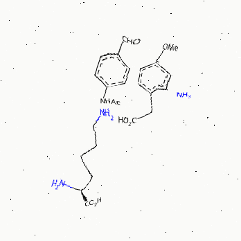 CC(=O)Nc1ccc(C=O)cc1.COc1ccc(CC(=O)O)cc1.N.NCCCC[C@H](N)C(=O)O